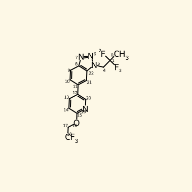 CC(F)(F)Cn1nnc2ccc(-c3ccc(OCC(F)(F)F)nc3)cc21